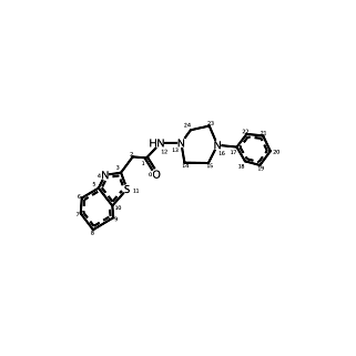 O=C(Cc1nc2ccccc2s1)NN1CCN(c2ccccc2)CC1